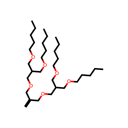 C=C(COCC(COCCCCC)COCCCCC)COCC(COCCCCC)COCCCCC